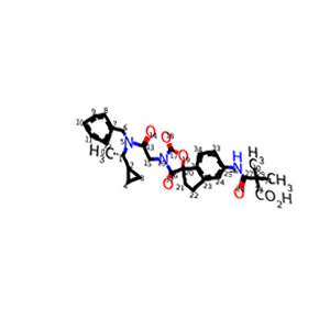 C[C@@H](C1CC1)N(Cc1ccccc1)C(=O)CN1C(=O)OC2(CCc3cc(NC(=O)C(C)(C)C(=O)O)ccc32)C1=O